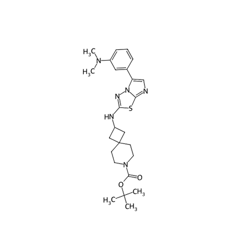 CN(C)c1cccc(-c2cnc3sc(NC4CC5(CCN(C(=O)OC(C)(C)C)CC5)C4)nn23)c1